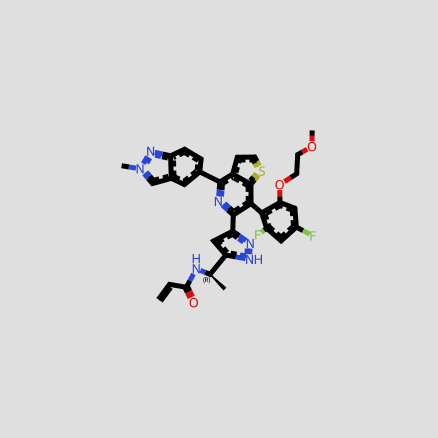 C=CC(=O)N[C@H](C)c1cc(-c2nc(-c3ccc4nn(C)cc4c3)c3ccsc3c2-c2c(F)cc(F)cc2OCCOC)n[nH]1